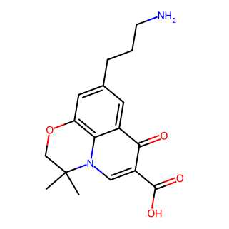 CC1(C)COc2cc(CCCN)cc3c(=O)c(C(=O)O)cn1c23